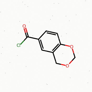 O=C(Cl)c1ccc2c(c1)COCO2